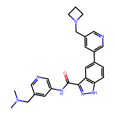 CN(C)Cc1cncc(NC(=O)c2n[nH]c3ccc(-c4cncc(CN5CCC5)c4)cc23)c1